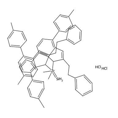 Cc1ccc(-c2ccc(-c3ccc(C)cc3)c3c2C=C(CCc2ccccc2)[CH]3[Zr]([CH3])([CH3])(=[SiH2])[CH]2C(CCc3ccccc3)=Cc3c(-c4ccc(C)cc4)ccc(-c4ccc(C)cc4)c32)cc1.Cl.Cl